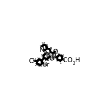 O=C(O)c1ccc(NC(=O)C(Cc2cccnc2)n2ccc(-c3cc(Cl)ccc3Br)cc2=O)cc1